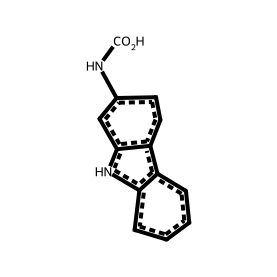 O=C(O)Nc1ccc2c(c1)[nH]c1ccccc12